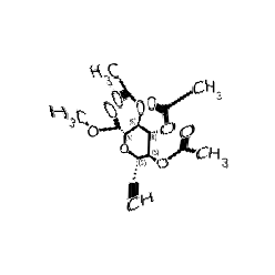 C#C[C@@H]1O[C@H](C(=O)OC)[C@@H](OC(C)=O)[C@H](OC(C)=O)[C@H]1OC(C)=O